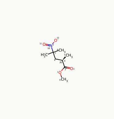 COC(=O)[C@H](C)CC(C)(C)[N+](=O)[O-]